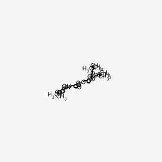 CC1(C)OCc2cc([C@H](O)CNCCc3ccc4c(c3)O[C@H](COCc3cccc(S(=O)(=O)N(COCC[Si](C)(C)C)COCC[Si](C)(C)C)c3)CO4)ccc2O1